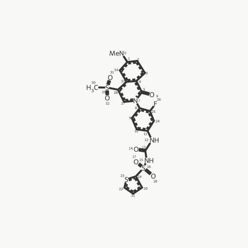 CNc1ccc2c(=O)n(-c3ccc(NC(=O)NS(=O)(=O)c4cccs4)cc3F)cc(S(C)(=O)=O)c2c1